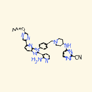 COc1cnc(-c2ccc3nc(-c4cccnc4N)n(-c4ccc(CN5CCC(Nc6ccnc(C#N)n6)CC5)cc4)c3n2)cn1